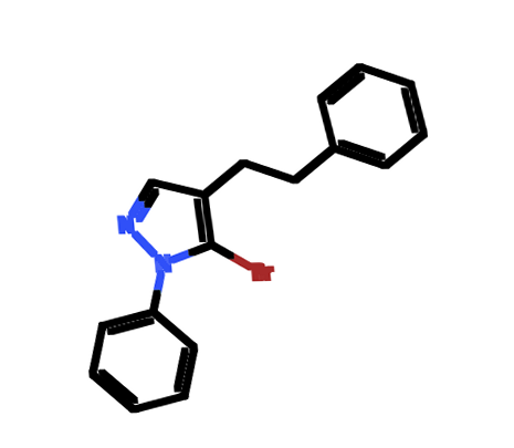 Brc1c(CCc2ccccc2)cnn1-c1ccccc1